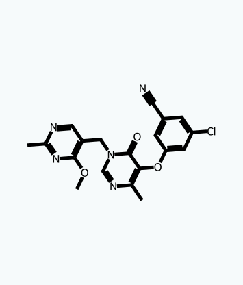 COc1nc(C)ncc1Cn1cnc(C)c(Oc2cc(Cl)cc(C#N)c2)c1=O